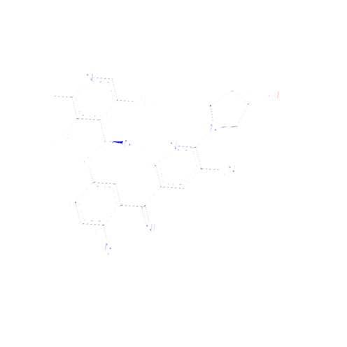 N#Cc1cc(C(=N)c2cc(O[C@H](N)c3c(Cl)cnc(F)c3Cl)ccc2N)cnc1N1CC[C@H](O)C1